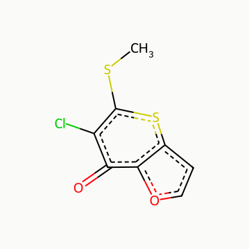 CSc1sc2ccoc2c(=O)c1Cl